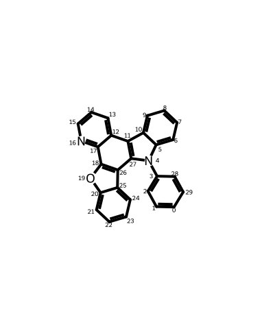 c1ccc(-n2c3ccccc3c3c4cccnc4c4oc5ccccc5c4c32)cc1